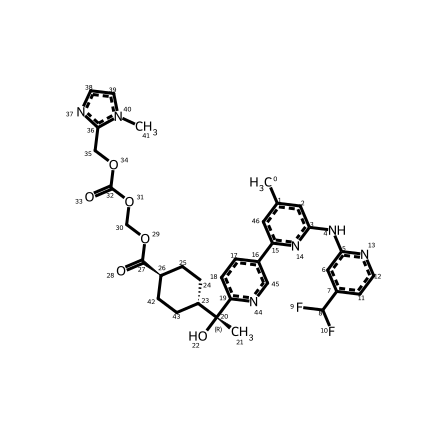 Cc1cc(Nc2cc(C(F)F)ccn2)nc(-c2ccc([C@](C)(O)[C@H]3CC[C@H](C(=O)OCOC(=O)OCc4nccn4C)CC3)nc2)c1